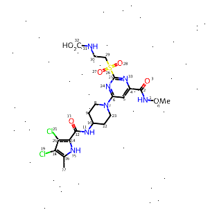 CONC(=O)c1cc(N2CCC(NC(=O)c3[nH]c(C)c(Cl)c3Cl)CC2)nc(S(=O)(=O)CCNC(=O)O)n1